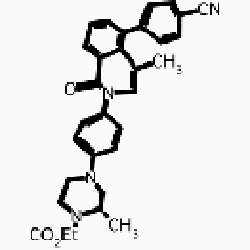 CCOC(=O)N1CCN(c2ccc(-n3cc(C)c4c(-c5ccc(C#N)cc5)cccc4c3=O)cc2)C[C@H]1C